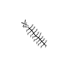 C[N+](C)(C)C.OC(F)(F)C(F)(F)C(F)(F)C(F)(F)C(F)(F)C(F)(F)C(F)(F)C(F)(F)F